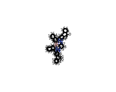 CC1(C)c2ccccc2-c2cc3c4c5ccccc5cc5c4n(c3cc21)-c1cccc2c1B5c1cc3ccccc3c3c4cc5c(cc4n-2c13)C(C)(C)c1ccccc1-5